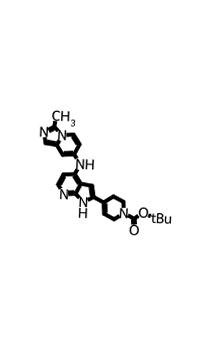 Cc1ncc2cc(Nc3ccnc4[nH]c(C5=CCN(C(=O)OC(C)(C)C)CC5)cc34)ccn12